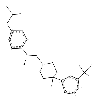 CC(C)Cc1ccc([C@H](C)CN2CCC(O)(c3cccc(C(F)(F)F)c3)CC2)cc1